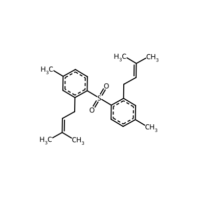 CC(C)=CCc1cc(C)ccc1S(=O)(=O)c1ccc(C)cc1CC=C(C)C